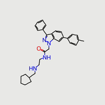 Cc1ccc(-c2ccc3c(-c4ccccc4)nn(CC(=O)NCCNCC4CCCCC4)c3c2)cc1